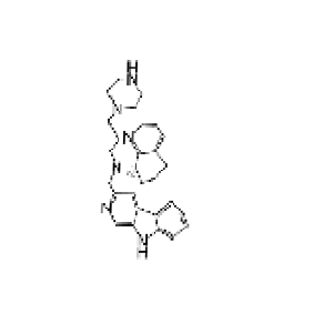 c1cnc2c(c1)CCC[C@@H]2N(CCCN1CCNCC1)Cc1cc2c(cn1)[nH]c1ccccc12